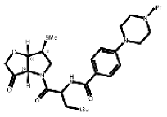 CS[C@H]1CN(C(=O)C(CC(C)(C)C)NC(=O)c2ccc(N3CCN(C(C)C)CC3)cc2)[C@@H]2C(=O)CO[C@H]12